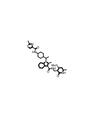 CSc1cc(C)[nH]c(=O)c1CNC(=O)c1c(C)n(C(C)C2CCC(NC(=O)c3csc(C)n3)CC2)c2ccccc12